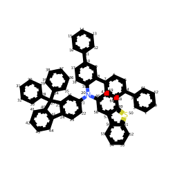 c1ccc(-c2ccc(-c3cc(-c4ccccc4)ccc3N(c3ccc4c(c3)C(c3ccccc3)(c3ccccc3)c3ccccc3-4)c3ccc4sc5ccccc5c4c3)cc2)cc1